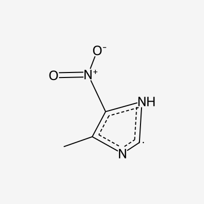 Cc1n[c][nH]c1[N+](=O)[O-]